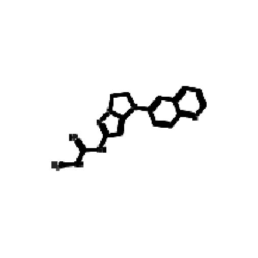 CNC(=P)Nc1cc2n(n1)CCN2c1ccc2ncccc2c1